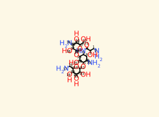 NCC(O)C(=O)NC1C[C@@H](N)C(OC2OC(CN)[C@@H](O)[C@H](O)C2O)[C@H](O)C1O[C@H]1OC(CO)[C@@H](O)[C@H](N)C1O